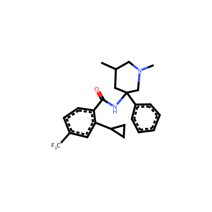 CC1CN(C)CC(NC(=O)c2ccc(C(F)(F)F)cc2C2CC2)(c2ccccc2)C1